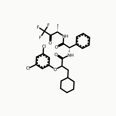 C[C@H](NC(=O)[C@@H](NC(=O)C(CC1CCCCC1)Oc1cc(Cl)cc(Cl)c1)c1ccccc1)C(=O)C(F)(F)F